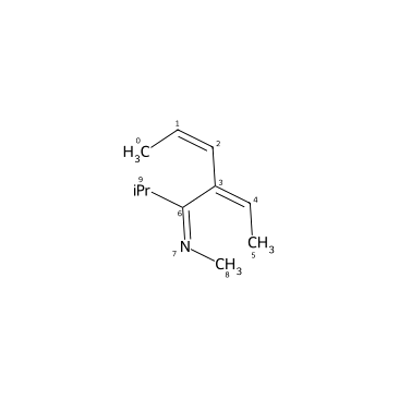 C\C=C/C(=C/C)C(=N\C)/C(C)C